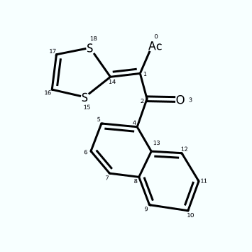 CC(=O)C(C(=O)c1cccc2ccccc12)=C1SC=CS1